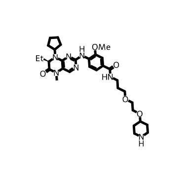 CC[C@@H]1C(=O)N(C)c2cnc(Nc3ccc(C(=O)NCCCOCCOC4CCNCC4)cc3OC)nc2N1C1CCCC1